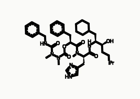 CC(C)CC[C@H](O)[C@H](CC1CCCCC1)NC(=O)[C@H](Cc1c[nH]cn1)N(C)C(=O)[C@H](Cc1ccccc1)OC(=O)N(C)N(C)C(=O)NCc1ccccc1